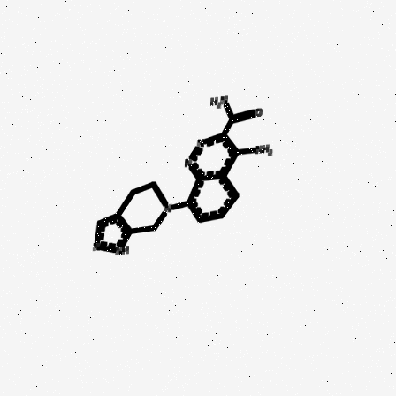 NC(=O)c1nnc2c(N3CCc4cn[nH]c4C3)cccc2c1N